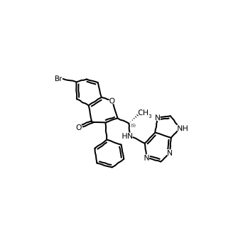 C[C@H](Nc1ncnc2[nH]cnc12)c1oc2ccc(Br)cc2c(=O)c1-c1ccccc1